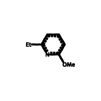 [CH2]Cc1cccc(OC)n1